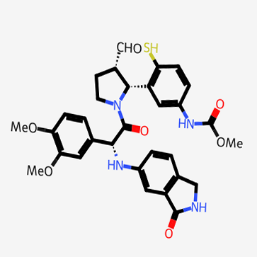 COC(=O)Nc1ccc(S)c([C@H]2[C@@H](C=O)CCN2C(=O)[C@H](Nc2ccc3c(c2)C(=O)NC3)c2ccc(OC)c(OC)c2)c1